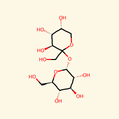 OC[C@H]1O[C@H](OC2(CO)OC[C@@H](O)[C@@H](O)[C@@H]2O)[C@H](O)[C@@H](O)[C@@H]1O